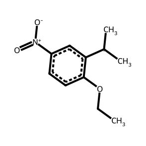 CCOc1ccc([N+](=O)[O-])cc1[C](C)C